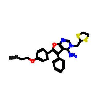 CNCCOc1ccc(-c2oc3c(c2-c2ccccc2)C(N)N(CC2SCCS2)C=N3)cc1